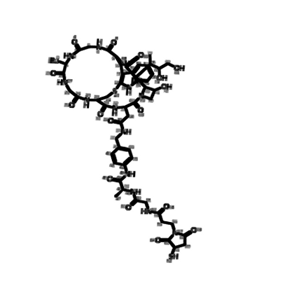 CCC(C)C1NC(=O)CNC(=O)C2Cc3c([nH]c4ccccc34)SCC(NC(=O)CNC1=O)C(=O)NC(CC(=O)NCc1ccc(NC(=O)[C@H](C)NC(=O)CNC(=O)CCN3C(=O)CC(S)C3=O)cc1)C(=O)N1CC(O)C1NC(C(C)C(O)CO)C(=O)N2